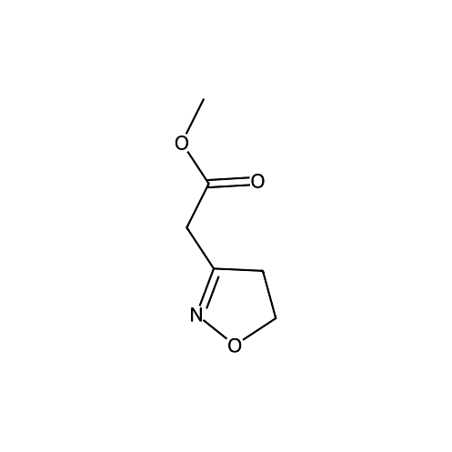 COC(=O)CC1=NOCC1